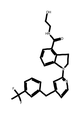 CC(F)(F)c1cccc(Cc2ccnc(N3CCc4c(C(=O)NCCO)cccc43)c2)c1